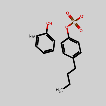 CCCCc1ccc(OS(=O)(=O)[O-])cc1.Oc1ccccc1.[Na+]